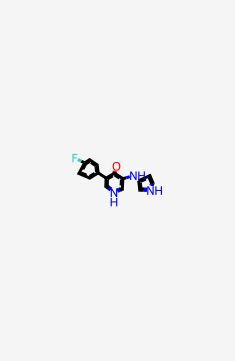 O=c1c(Nc2cc[nH]c2)c[nH]cc1-c1ccc(F)cc1